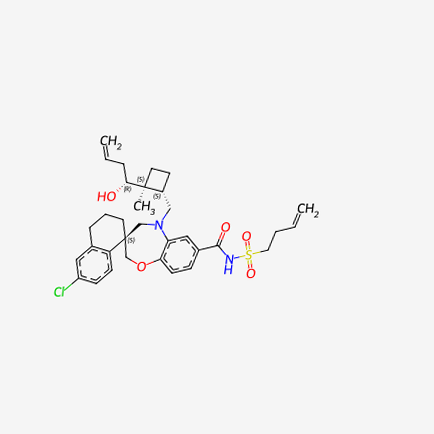 C=CCCS(=O)(=O)NC(=O)c1ccc2c(c1)N(C[C@H]1CC[C@]1(C)[C@H](O)CC=C)C[C@@]1(CCCc3cc(Cl)ccc31)CO2